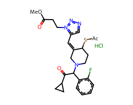 COC(=O)CCn1nncc1C=C1CN(C(C(=O)C2CC2)c2ccccc2F)CCC1SC(C)=O.Cl